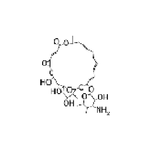 CC1C/C=C/C=C/C=C/C=C/C(OC2OC(C)C(C)C(N)C2O)CC2OC(O)(CC(O)CC3OC3/C=C/C(=O)O1)CC(O)C2C